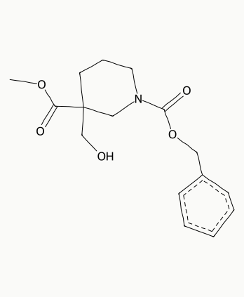 COC(=O)C1(CO)CCCN(C(=O)OCc2ccccc2)C1